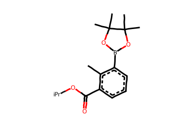 Cc1c(B2OC(C)(C)C(C)(C)O2)cccc1C(=O)OC(C)C